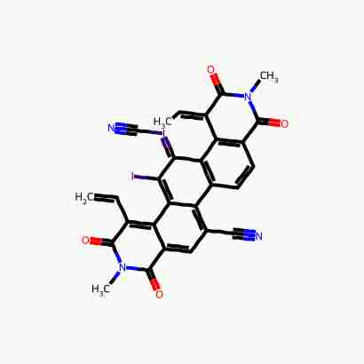 C=CC1=c2c(cc(C#N)c3c2=C(I)/C(=I\C#N)c2c-3ccc3c2/C(=C\C)C(=O)N(C)C3=O)C(=O)N(C)C1=O